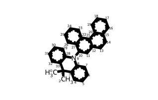 CC1(C)c2ccccc2N(c2cc3ccc4ccccc4c3c3ccccc23)c2ccccc21